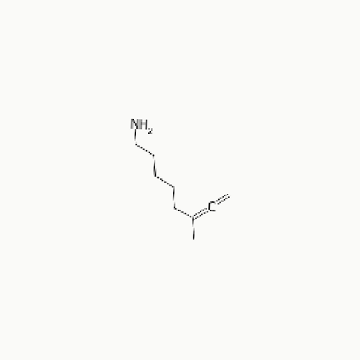 C=C=C(C)CCCCCN